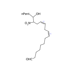 CCCCCC(O)C(C/C=C\C/C=C\CCCCCC[C]=O)[N+](=O)[O-]